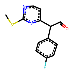 CSc1nccc(C(C=O)c2ccc(F)cc2)n1